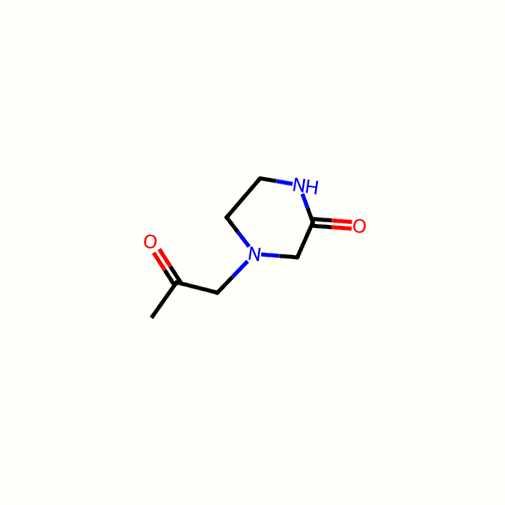 CC(=O)CN1CCNC(=O)C1